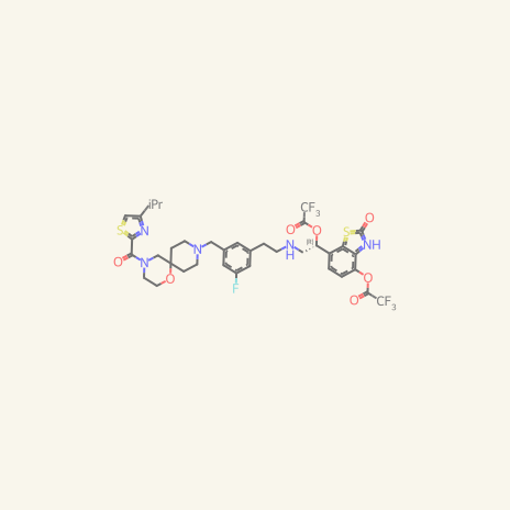 CC(C)c1csc(C(=O)N2CCOC3(CCN(Cc4cc(F)cc(CCNC[C@H](OC(=O)C(F)(F)F)c5ccc(OC(=O)C(F)(F)F)c6[nH]c(=O)sc56)c4)CC3)C2)n1